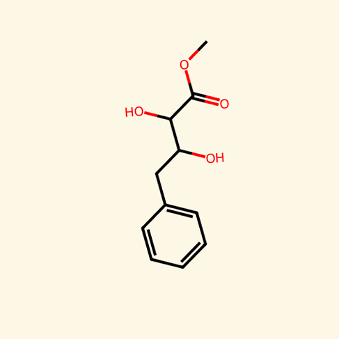 COC(=O)C(O)C(O)Cc1ccccc1